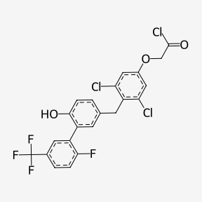 O=C(Cl)COc1cc(Cl)c(Cc2ccc(O)c(-c3cc(C(F)(F)F)ccc3F)c2)c(Cl)c1